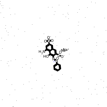 Nc1cc(S(=O)(=O)[O-])cc2cc(S(=O)(=O)[O-])c(/N=N/c3ccccc3)c(O)c12.[Na+].[Na+]